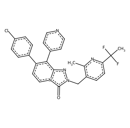 Cc1nc(C(C)(F)F)ccc1Cn1nc2c(-c3ccncc3)c(-c3ccc(Cl)cc3)ccn2c1=O